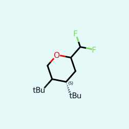 CC(C)(C)C1COC(C(F)F)C[C@@H]1C(C)(C)C